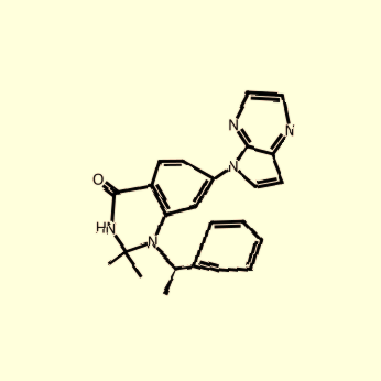 C[C@H](c1ccccc1)N1c2cc(-n3ccc4nccnc43)ccc2C(=O)NC1(C)C